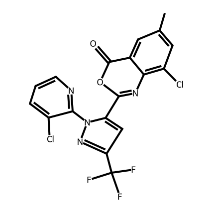 Cc1cc(Cl)c2nc(-c3cc(C(F)(F)F)nn3-c3ncccc3Cl)oc(=O)c2c1